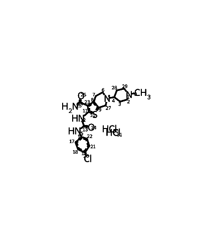 CN1CCC(N2CCc3c(sc(NC(=O)Nc4ccc(Cl)cc4)c3C(N)=O)C2)CC1.Cl.Cl